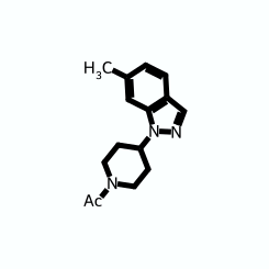 CC(=O)N1CCC(n2ncc3ccc(C)cc32)CC1